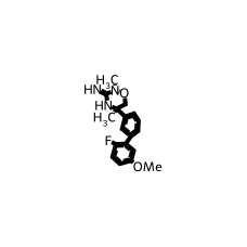 COc1ccc(F)c(-c2cccc(C3(C)CON(C)C(=N)N3)c2)c1